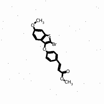 COC(=O)C=Cc1ccc(Oc2c(Br)sc3cc(OC)ccc23)cc1